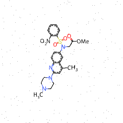 COC(=O)CN(c1ccc2nc(N3CCN(C)CC3)cc(C)c2c1)S(=O)(=O)c1ccccc1[N+](=O)[O-]